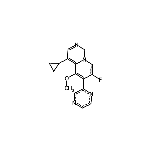 COC1=C(c2cnccn2)C(F)=CN2CN=CC(C3CC3)=C12